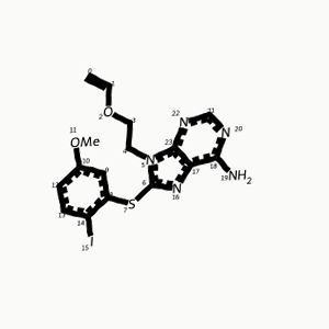 C=COCCn1c(Sc2cc(OC)ccc2I)nc2c(N)ncnc21